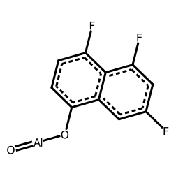 [O]=[Al][O]c1ccc(F)c2c(F)cc(F)cc12